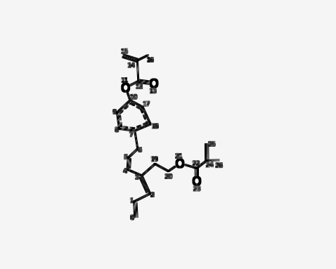 C=C/C=C(\C=C/Cc1ccc(OC(=O)C(=C)C)cc1)CCOC(=O)C(=C)C